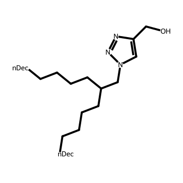 CCCCCCCCCCCCCCC(CCCCCCCCCCCCCC)Cn1cc(CO)nn1